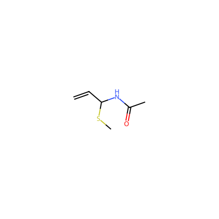 C=CC(NC(C)=O)SC